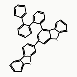 c1ccc(-c2ccccc2-c2ccccc2-c2cc(-c3ccc4c(c3)sc3ccccc34)cc3oc4ccccc4c23)cc1